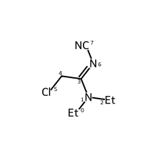 CCN(CC)/C(CCl)=N/C#N